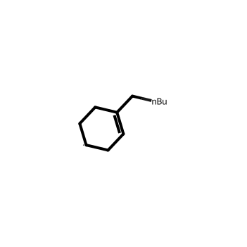 CCCCCC1=CC[CH]CC1